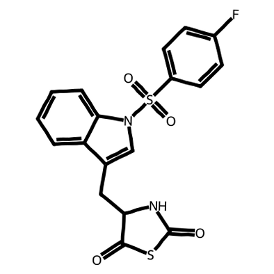 O=C1NC(Cc2cn(S(=O)(=O)c3ccc(F)cc3)c3ccccc23)C(=O)S1